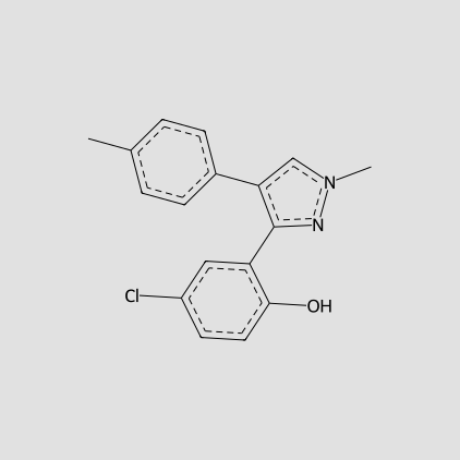 Cc1ccc(-c2cn(C)nc2-c2cc(Cl)ccc2O)cc1